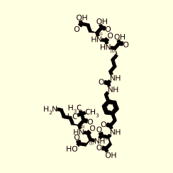 CC(C)(C)C(=O)[C@H](CCCCN)NC(=O)[C@H](CC(=O)O)NC(=O)[C@H](CC(=O)O)NC(=O)Cc1ccc(CNC(=O)NCCCC[C@H](NC(=O)N[C@@H](CCC(=O)O)C(=O)O)C(=O)O)cc1